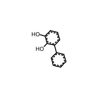 Oc1cccc(-c2ccccc2)c1O